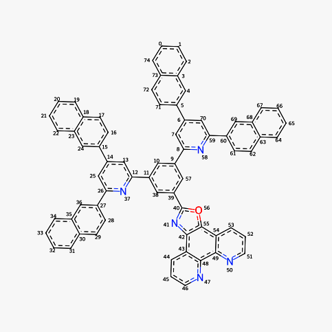 c1ccc2cc(-c3cc(-c4cc(-c5cc(-c6ccc7ccccc7c6)cc(-c6ccc7ccccc7c6)n5)cc(-c5nc6c7cccnc7c7ncccc7c6o5)c4)nc(-c4ccc5ccccc5c4)c3)ccc2c1